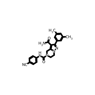 Cc1cc(C)cc(-c2nn3c(c2C(N)=O)CN(C(=O)Nc2ccc(C#N)cc2)CC3)c1